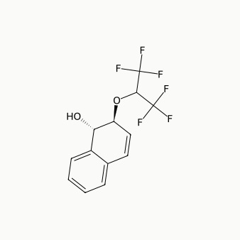 O[C@H]1c2ccccc2C=C[C@@H]1OC(C(F)(F)F)C(F)(F)F